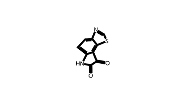 O=C1Nc2ccc3ncsc3c2C1=O